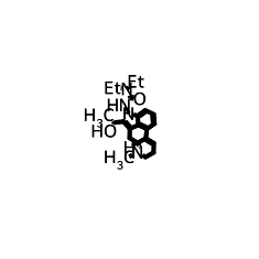 CCN(CC)C(=O)Nn1c(C(C)O)c2c3c(cccc31)C1=CCCN(C)[C@@H]1C2